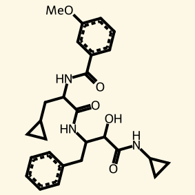 COc1cccc(C(=O)NC(CC2CC2)C(=O)NC(Cc2ccccc2)C(O)C(=O)NC2CC2)c1